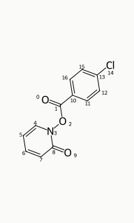 O=C(On1ccccc1=O)c1ccc(Cl)cc1